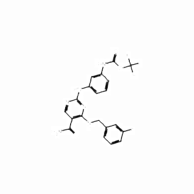 NC(=O)c1cnc(Nc2cccc(NC(=O)OC(F)(F)F)c2)nc1NCc1cccc(F)c1